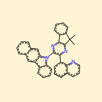 CC1(C)c2ccccc2-c2nc(-n3c4ccccc4c4cc5ccccc5cc43)c(-c3cccc4cccnc34)nc21